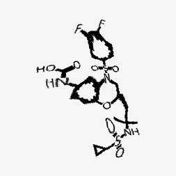 CC(C)(CC1CN(S(=O)(=O)c2ccc(F)c(F)c2)c2cc(NC(=O)O)ccc2O1)NS(=O)(=O)C1CC1